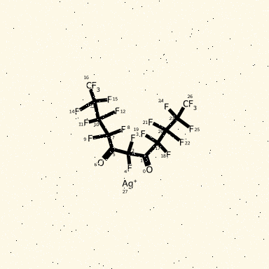 O=C(C(F)(F)C(=O)C(F)(F)C(F)(F)C(F)(F)C(F)(F)F)C(F)(F)C(F)(F)C(F)(F)C(F)(F)F.[Ag+]